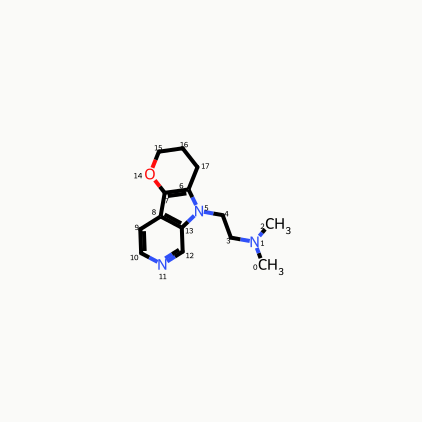 CN(C)CCn1c2c(c3ccncc31)OCCC2